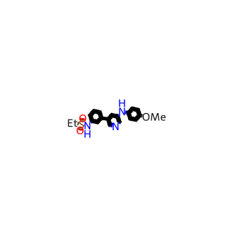 CCS(=O)(=O)Nc1cccc(-c2cncc(Nc3ccc(OC)cc3)c2)c1